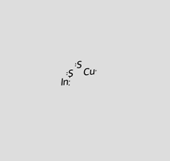 [Cu].[In].[S].[S]